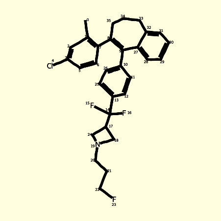 Cc1cc(Cl)ccc1C1=C(c2ccc(C(F)(F)C3CN(CCCF)C3)cc2)c2ccccc2CCC1